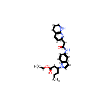 CCCC(CC(=O)OCC)n1ccc2cc(NC(=O)Cc3ccc4c(n3)NCCC4)ccc21